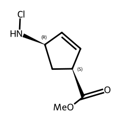 COC(=O)[C@@H]1C=C[C@H](NCl)C1